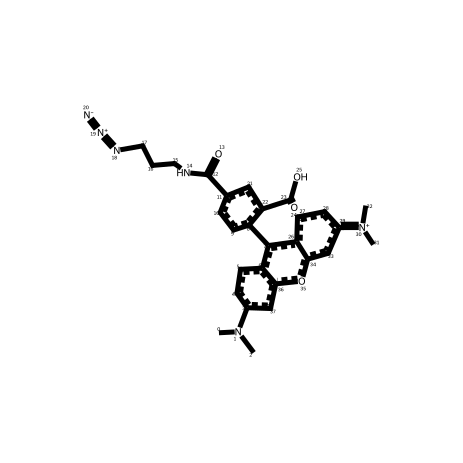 CN(C)c1ccc2c(-c3ccc(C(=O)NCCCN=[N+]=[N-])cc3C(=O)O)c3ccc(=[N+](C)C)cc-3oc2c1